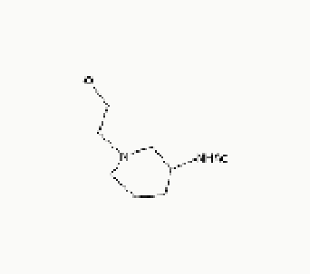 CC(=O)NC1CCCN(CC[O])C1